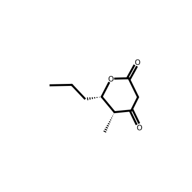 CCC[C@@H]1OC(=O)CC(=O)[C@@H]1C